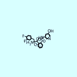 CC(N)(Cc1ccc(F)c(F)c1)C(=O)c1ccccc1S(=O)(=O)Nc1cncc(O)c1